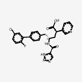 O=C(N[C@H](Cc1ccc(-c2cc(Cl)ccc2F)cc1)CC(C(=O)O)c1cccnc1)c1cnn[nH]1